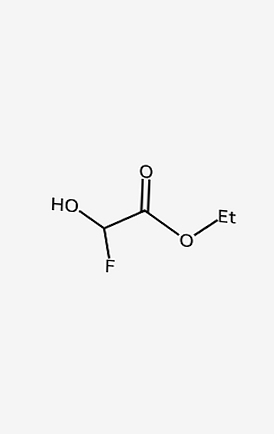 CCOC(=O)C(O)F